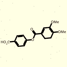 COC1=C(OC)CCC(C(=O)Oc2ccc(C(=O)O)cc2)=C1